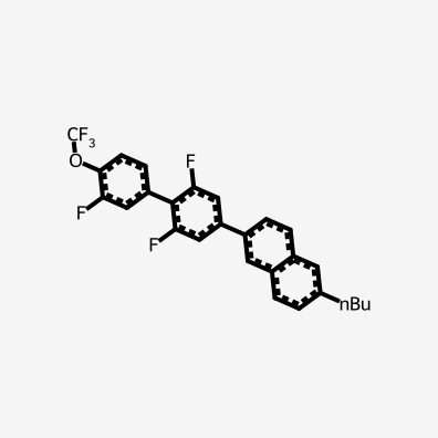 CCCCc1ccc2cc(-c3cc(F)c(-c4ccc(OC(F)(F)F)c(F)c4)c(F)c3)ccc2c1